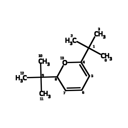 CC(C)(C)C1=CC=CC(C(C)(C)C)O1